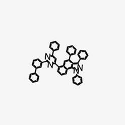 c1ccc(-c2cccc(-c3nc(-c4ccccc4)cc(-c4cccc5c4cc(-c4ccccc4)c4c(-c6ccccc6)nn(-c6ccccc6)c45)n3)c2)cc1